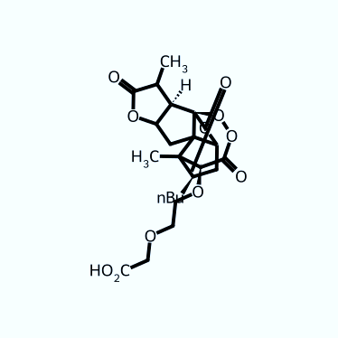 CCCC[C@@H]1CC2OC(=O)[C@]34OOC(=O)[C@@H](OCCOCC(=O)O)C1(C)C23CC1OC(=O)C(C)[C@H]14